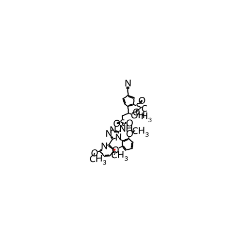 COc1cccc(-c2nnc(NS(=O)(=O)C[C@H](O)c3ccc(C#N)cc3S(C)(=O)=O)n2-c2c(OC)cccc2OC)n1